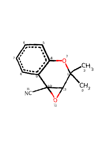 CC1(C)Oc2ccccc2C2(C#N)OC12